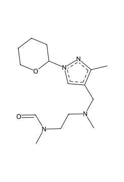 Cc1nn(C2CCCCO2)cc1CN(C)CCN(C)C=O